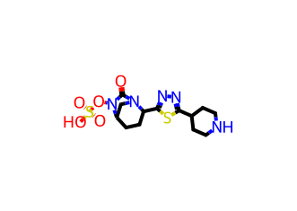 O=C1N2CC(CCC2c2nnc(C3CCNCC3)s2)N1OS(=O)(=O)O